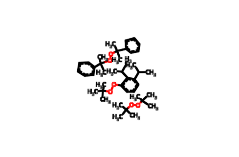 CC(C)(C)OOC(C)(C)C.CC(C)(OOC(C)(C)c1ccccc1)c1ccccc1.CC(C)c1cccc(OOC(C)(C)C)c1C(C)C